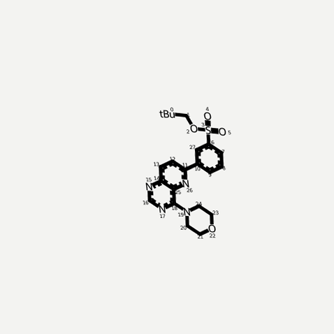 CC(C)(C)COS(=O)(=O)c1cccc(-c2ccc3ncnc(N4CCOCC4)c3n2)c1